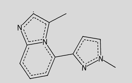 Cc1[c]nc2cccc(-c3ccn(C)n3)n12